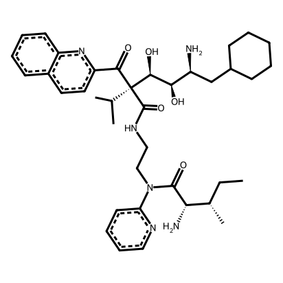 CC[C@H](C)[C@H](N)C(=O)N(CCNC(=O)[C@](C(=O)c1ccc2ccccc2n1)(C(C)C)[C@@H](O)[C@H](O)[C@@H](N)CC1CCCCC1)c1ccccn1